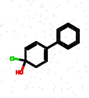 OC1(Cl)C=CC(c2ccccc2)=CC1